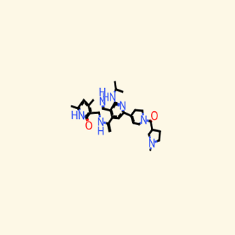 C=C(NCc1c(C)cc(C)[nH]c1=O)c1cc(C2=CCN(C(=O)C3CCN(C)C3)CC2)nc(NC(C)C)c1C=N